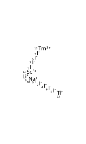 [I-].[I-].[I-].[I-].[I-].[I-].[I-].[I-].[I-].[Li+].[Na+].[Sc+3].[Tl+].[Tm+3]